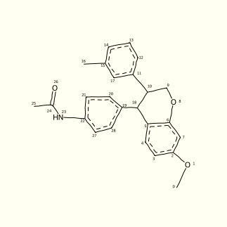 COc1ccc2c(c1)OCC(c1cccc(C)c1)C2c1ccc(NC(C)=O)cc1